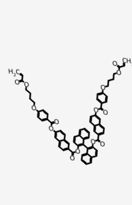 C=CC(=O)OCCCCOc1ccc(C(=O)Oc2ccc3cc(C(=O)Oc4ccc5ccccc5c4-c4c(OC(=O)c5ccc6cc(OC(=O)c7ccc(OCCCCOC(=O)C=C)cc7)ccc6c5)ccc5ccccc45)ccc3c2)cc1